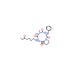 CCC(=O)CCCCC[C@@H]1NC(=O)[C@H]2CCCCN2C(=O)[C@H](Cc2ccccc2)NC(=O)[C@H](C)NC1=O